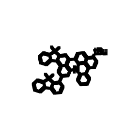 CC(C)(C)c1ccc(-c2ccccc2N(c2cccc(-c3cccc4c3C(C)(C)c3ccccc3-4)c2)c2ccccc2-c2ccc3c(c2)C(C)(C)c2ccccc2-3)cc1